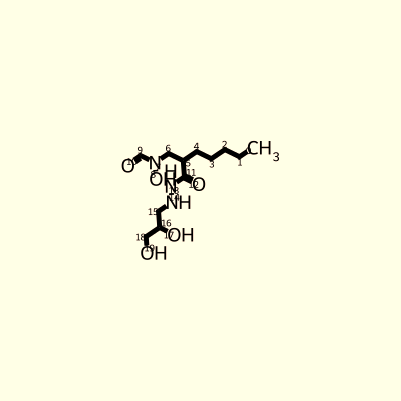 CCCCCC(CN(O)C=O)C(=O)NNCC(O)CO